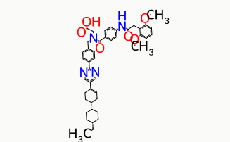 CC[C@H]1CC[C@H](C2CC=C(c3cnc(-c4ccc(CN(CC(=O)O)C(=O)c5ccc(NC(=O)Cc6c(OC)cccc6OC)cc5)cc4)nc3)CC2)CC1